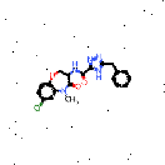 CN1C(=O)C(NC(=O)c2nnc(Cc3ccccc3)[nH]2)COc2ccc(Cl)cc21